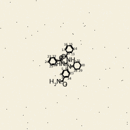 NC(=O)c1ccc(N([C](NC(=O)c2ccccc2)NC(=O)c2ccccc2)C2CCCCC2)cc1